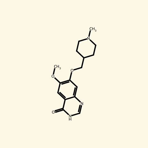 COc1cc2c(=O)[nH]cnc2cc1OCC1CCN(C)CC1